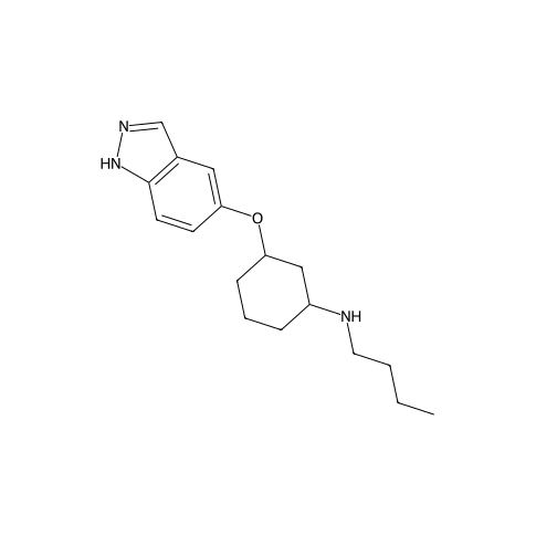 CCCCNC1CCCC(Oc2ccc3[nH]ncc3c2)C1